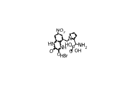 Br.NC(c1cccn1Cc1cc([N+](=O)[O-])cc2[nH]c(=O)c(=O)[nH]c12)P(=O)(O)O